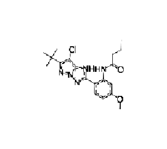 CCCC(=O)Nc1cc(OC)ccc1-c1nn2nc(C(C)(C)C)c(Cl)c2[nH]1